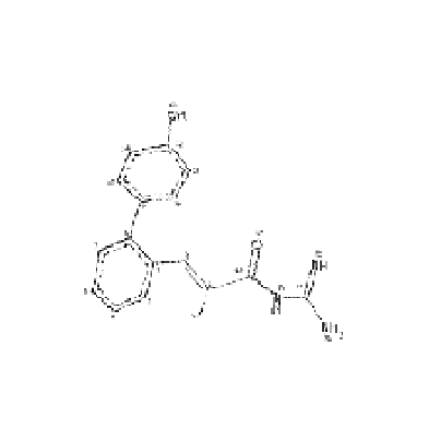 C/C(=C\c1ccccc1-c1ccc(O)cc1)C(=O)NC(=N)N